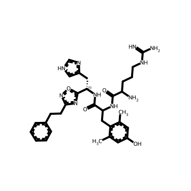 Cc1cc(O)cc(C)c1CC(NC(=O)C(N)CCCNC(=N)N)C(=O)N[C@@H](Cc1c[nH]cn1)c1nc(CCc2ccccc2)no1